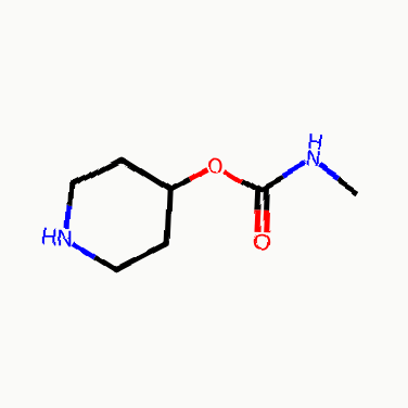 CNC(=O)OC1CCNCC1